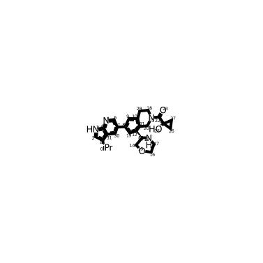 CC(C)c1c[nH]c2ncc(-c3cc4c(c([C@@H]5COCCN5)c3)CN(C(=O)C3(O)CC3)CC4)cc12